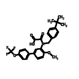 COc1ccc(-c2ccc(OC(F)(F)F)cc2)cc1N(Cc1ccc(C(C)(C)C)cc1)C(=O)C(=O)O